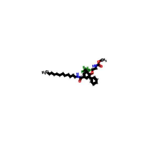 CCCCCCCCCCCCNC(=O)C1=CC(Br)(C(F)(F)F)C(OCCNC(=O)OC)C(c2ccccc2)=C1